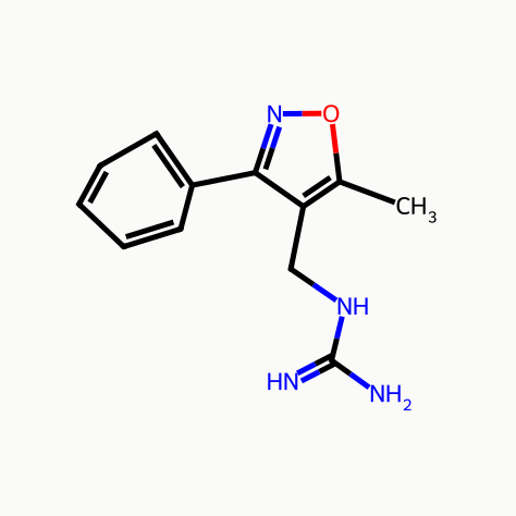 Cc1onc(-c2ccccc2)c1CNC(=N)N